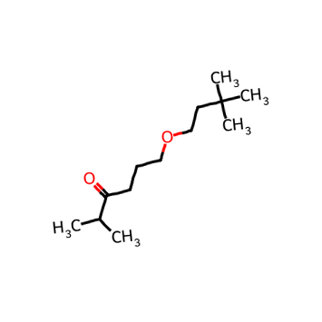 CC(C)C(=O)CCCOCCC(C)(C)C